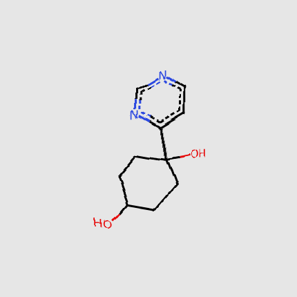 OC1CCC(O)(c2ccncn2)CC1